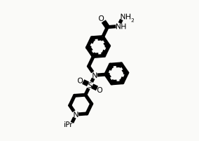 CC(C)N1CCC(S(=O)(=O)N(Cc2ccc(C(=O)NN)cc2)c2ccccc2)CC1